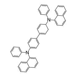 C1=CC(N(c2ccccc2)c2cccc3ccccc23)CC=C1c1ccc(N(c2ccccc2)c2cccc3ccccc23)cc1